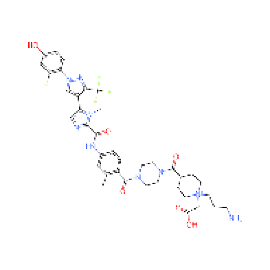 Cc1cc(NC(=O)c2ncc(-c3cn(-c4ccc(O)cc4F)nc3C(F)(F)F)n2C)ccc1C(=O)N1CCN(C(=O)C2CC[N+](CCCN)(CC(=O)O)CC2)CC1